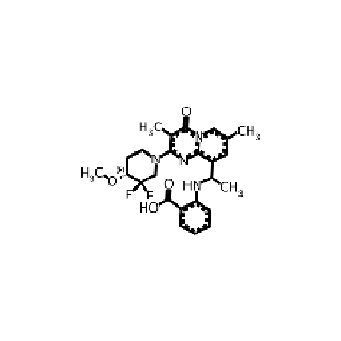 CO[C@@H]1CCN(c2nc3c(C(C)Nc4ccccc4C(=O)O)cc(C)cn3c(=O)c2C)CC1(F)F